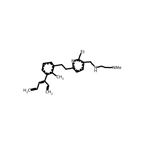 C=C/C=C(\C=C)c1cccc(CCc2ccc(CNCCNC)c(CC)n2)c1C